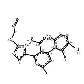 C=CCOc1nnc(-c2nc(C)cc(-c3c(OC)ccc(Cl)c3F)c2C(N)=O)s1